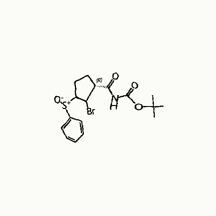 CC(C)(C)OC(=O)NC(=O)[C@H]1CCC([S+]([O-])c2ccccc2)C1Br